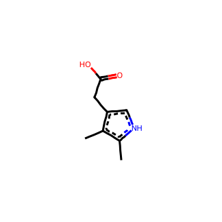 Cc1[nH]cc(CC(=O)O)c1C